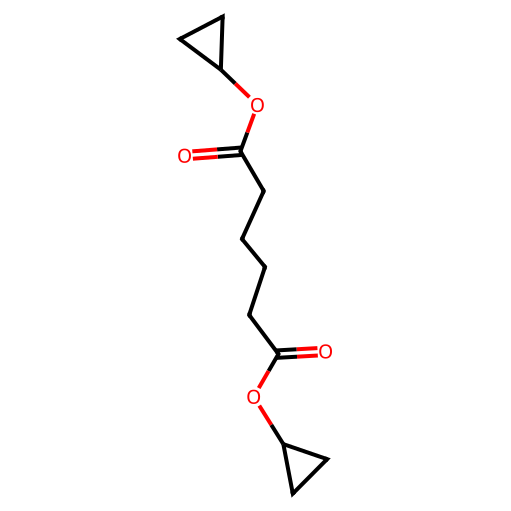 O=C(CCCCC(=O)OC1CC1)OC1CC1